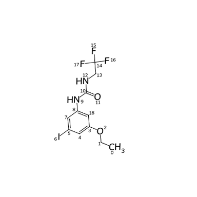 CCOc1cc(I)cc(NC(=O)NCC(F)(F)F)c1